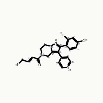 O=C(/C=C/CF)N1CCn2nc(-c3ccc(Cl)cc3F)c(-c3ccncc3)c2C1